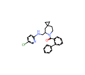 O=C(c1ccccc1-c1ccccc1)N1CCC2(CC2)CC1CNc1ccc(Cl)cn1